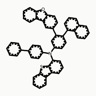 c1ccc(-c2ccc(N(c3ccc(-c4cccc5ccccc45)c(-c4ccc5oc6ccccc6c5c4)c3)c3cccc4c3sc3ccccc34)cc2)cc1